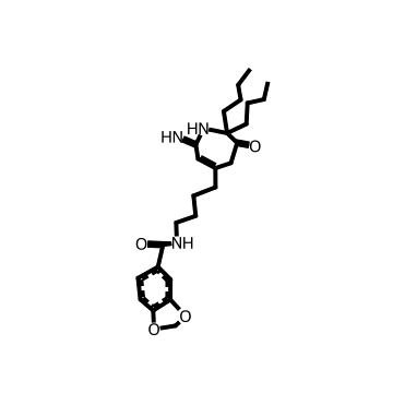 CCCCC1(CCCC)NC(=N)C=C(CCCCNC(=O)c2ccc3c(c2)OCO3)CC1=O